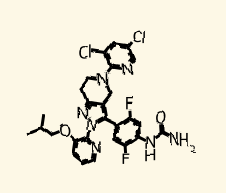 CC(C)COc1cccnc1-n1nc2c(c1-c1cc(F)c(NC(N)=O)cc1F)CN(c1ncc(Cl)cc1Cl)CC2